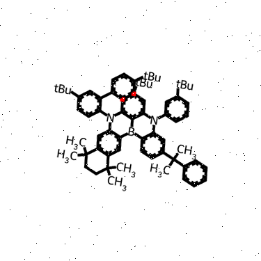 CC(C)(C)c1ccc(-c2cc(C(C)(C)C)ccc2N2c3cc4c(cc3B3c5ccc(C(C)(C)c6ccccc6)cc5N(c5cccc(C(C)(C)C)c5)c5cc(C(C)(C)C)cc2c53)C(C)(C)CCC4(C)C)cc1